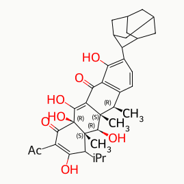 CC(=O)C1=C(O)C(C(C)C)[C@@]2(C)[C@H](O)[C@]3(C)C(=C(O)[C@@]2(O)C1=O)C(=O)c1c(ccc(C2C4CC5CC(C4)CC2C5)c1O)[C@H]3C